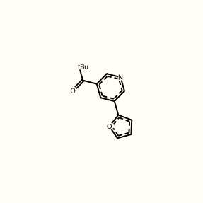 CC(C)(C)C(=O)c1cncc(-c2ccco2)c1